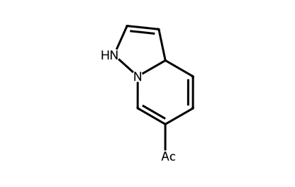 CC(=O)C1=CN2NC=CC2C=C1